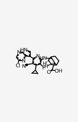 N#Cc1c(-c2c[nH]c3ncc(Cl)nc23)nc(N[C@H]2C3CCC(CC3)[C@@H]2C(=O)O)c(F)c1C1CC1